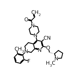 C=CC(=O)N1CCN(c2c(C#N)c(OC[C@@H]3CCCN3C)nc3c2CCN(c2c(C)cccc2F)C3)CC1